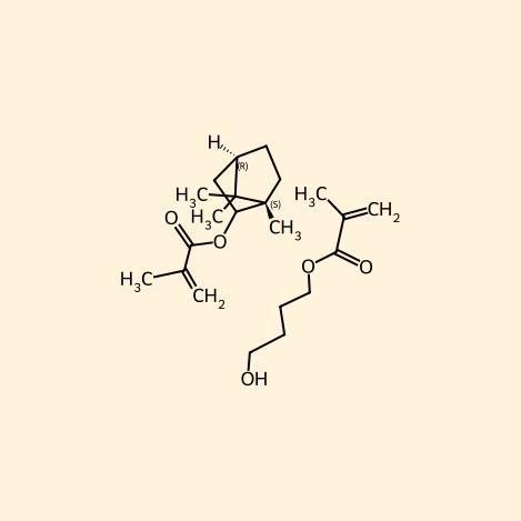 C=C(C)C(=O)OC1C[C@H]2CC[C@@]1(C)C2(C)C.C=C(C)C(=O)OCCCCO